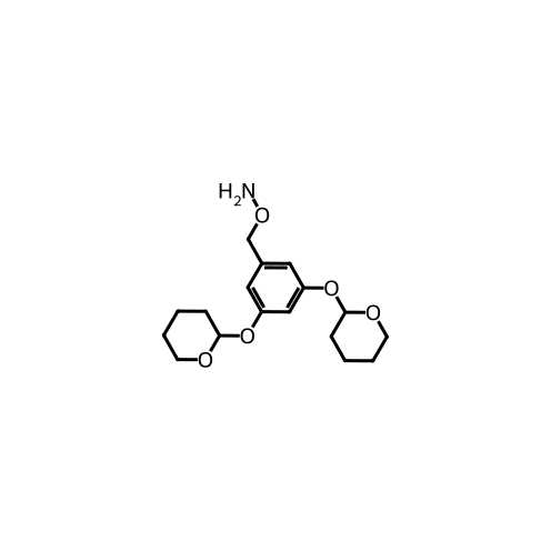 NOCc1cc(OC2CCCCO2)cc(OC2CCCCO2)c1